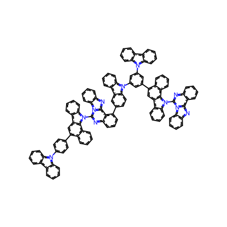 c1ccc2c(c1)nc(-n1c3ccccc3c3cc(-c4cc(-n5c6ccccc6c6ccccc65)cc(-n5c6ccccc6c6cc(-c7cccc8nc(-n9c%10ccccc%10c%10cc(-c%11ccc(-n%12c%13ccccc%13c%13ccccc%13%12)cc%11)c%11ccccc%11c%109)n9c%10ccccc%10nc9c78)ccc65)c4)c4ccccc4c31)n1c3ccccc3nc21